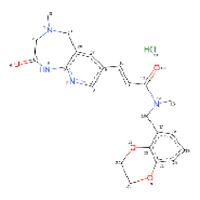 CN1CC(=O)Nc2ncc(/C=C/C(=O)N(C)Cc3cccc4c3OCCO4)cc2C1.Cl